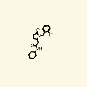 O=C(CC1CCC(=O)N1Cc1ccccc1Cl)NC1CCCCC1